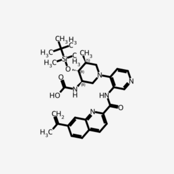 C=C(C)c1ccc2ccc(C(=O)Nc3cnccc3N3C[C@H](C)[C@@H](O[Si](C)(C)C(C)(C)C)[C@H](NC(=O)O)C3)nc2c1